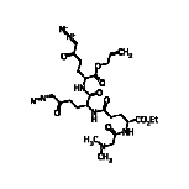 C=CCOC(=O)[C@H](CCC(=O)C=[N+]=[N-])NC(=O)[C@H](CCC(=O)C=[N+]=[N-])NC(=O)CC[C@H](NC(=O)CN(C)C)C(=O)OCC